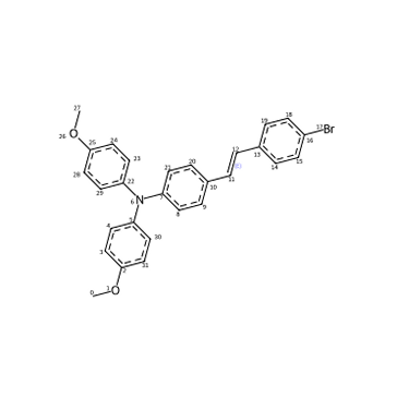 COc1ccc(N(c2ccc(/C=C/c3ccc(Br)cc3)cc2)c2ccc(OC)cc2)cc1